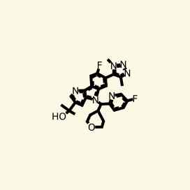 Cc1nnn(C)c1-c1cc2c(cc1F)c1ncc(C(C)(C)O)cc1n2C(c1ccc(F)cn1)C1CCOCC1